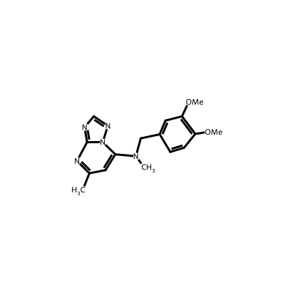 COc1ccc(CN(C)c2cc(C)nc3ncnn23)cc1OC